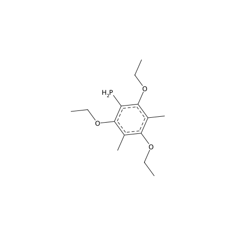 CCOc1c(C)c(OCC)c(P)c(OCC)c1C